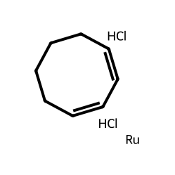 C1=CCCCCC=C1.Cl.Cl.[Ru]